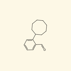 O=Cc1ccccc1C1CCCCCCC1